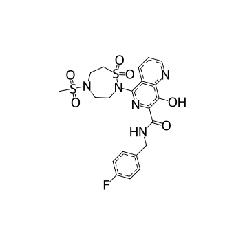 CS(=O)(=O)N1CCN(c2nc(C(=O)NCc3ccc(F)cc3)c(O)c3ncccc23)S(=O)(=O)CC1